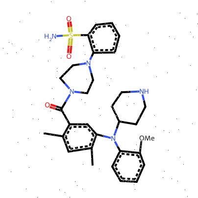 COc1ccccc1N(c1cc(C(=O)N2CCN(c3ccccc3S(N)(=O)=O)CC2)c(C)cc1C)C1CCNCC1